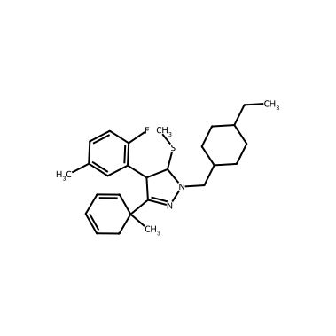 CCC1CCC(CN2N=C(C3(C)C=CC=CC3)C(c3cc(C)ccc3F)C2SC)CC1